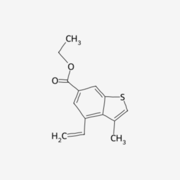 C=Cc1cc(C(=O)OCC)cc2scc(C)c12